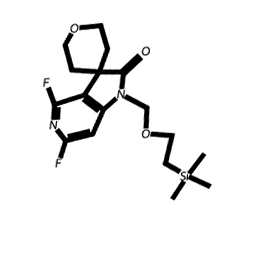 C[Si](C)(C)CCOCN1C(=O)C2(CCOCC2)c2c1cc(F)nc2F